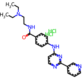 CCN(CC)CCNC(=O)c1ccc(Nc2ccnc(-c3cccnc3)n2)cc1.Cl.Cl